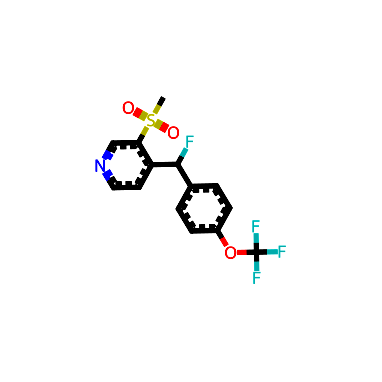 CS(=O)(=O)c1cnccc1C(F)c1ccc(OC(F)(F)F)cc1